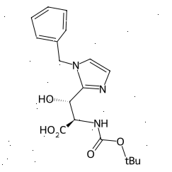 CC(C)(C)OC(=O)N[C@@H](C(=O)O)[C@H](O)c1nccn1Cc1ccccc1